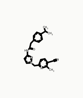 Cc1nc(Cn2ccc(NC(=O)Cc3ccc(C(C)C)cc3)n2)ccc1C#N